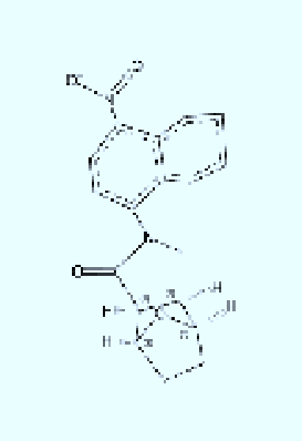 O=C1[C@H]2[C@@H](CN1c1ccc([N+](=O)[O-])c3ccccc13)[C@H]1CC[C@@H]2O1